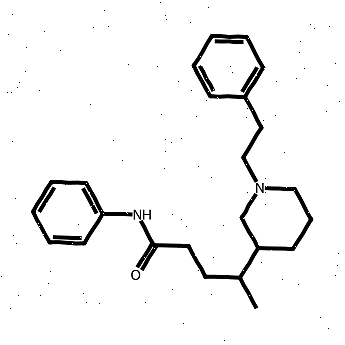 CC(CCC(=O)Nc1ccccc1)C1CCCN(CCc2ccccc2)C1